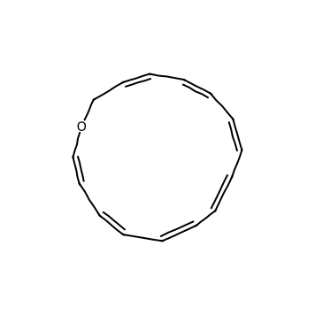 C1=CC=CC=CC=COCC=CC=CC=C1